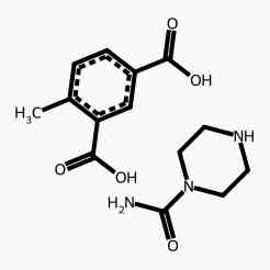 Cc1ccc(C(=O)O)cc1C(=O)O.NC(=O)N1CCNCC1